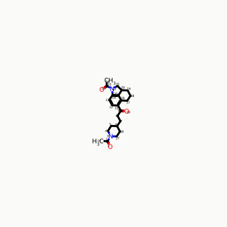 CC(=O)N1CCC(CCC(=O)c2ccc3c4c2CCCC4CN3C(C)=O)CC1